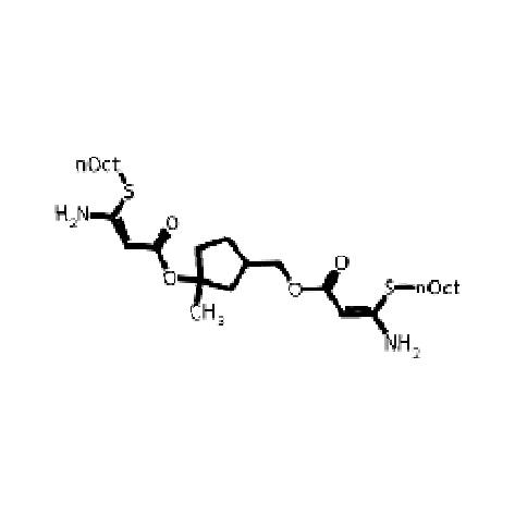 CCCCCCCCSC(N)=CC(=O)OCC1CCC(C)(OC(=O)C=C(N)SCCCCCCCC)C1